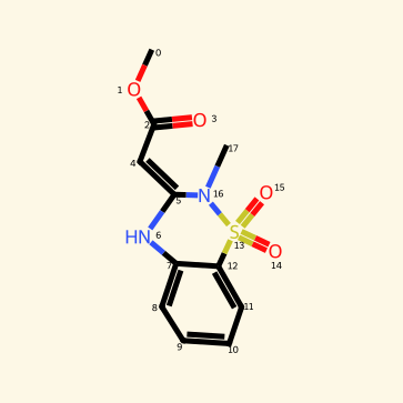 COC(=O)/C=C1/Nc2ccccc2S(=O)(=O)N1C